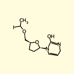 CC(I)OC[C@@H]1CC[C@H](N2C=CCN=C2O)O1